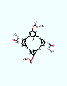 Cc1c2cc(OC(=O)OC(C)(C)C)cc1Cc1cc(OC(=O)OC(C)(C)C)cc(c1C)Cc1cc(OC(=O)OC(C)(C)C)cc(c1C)Cc1cc(OC(=O)OC(C)(C)C)cc(c1C)C2